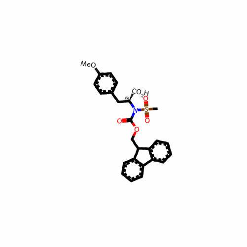 COc1ccc(C[C@@H](C(=O)O)N(C(=O)OCC2c3ccccc3-c3ccccc32)S(C)(=O)=O)cc1